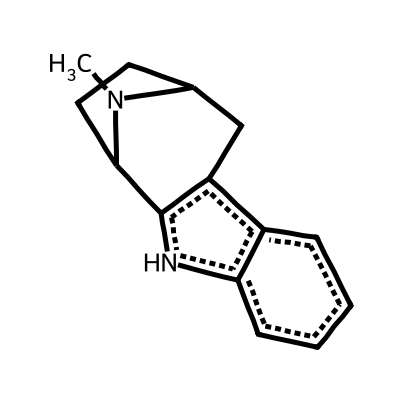 CN1C2CCC1c1[nH]c3ccccc3c1C2